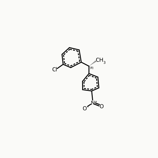 C[C@H](c1ccc([N+](=O)[O-])cc1)c1cccc(Cl)c1